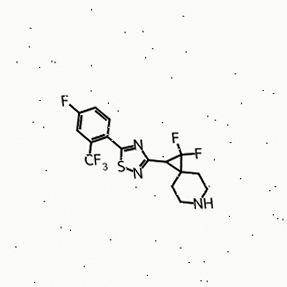 Fc1ccc(-c2nc(C3C(F)(F)C34CCNCC4)ns2)c(C(F)(F)F)c1